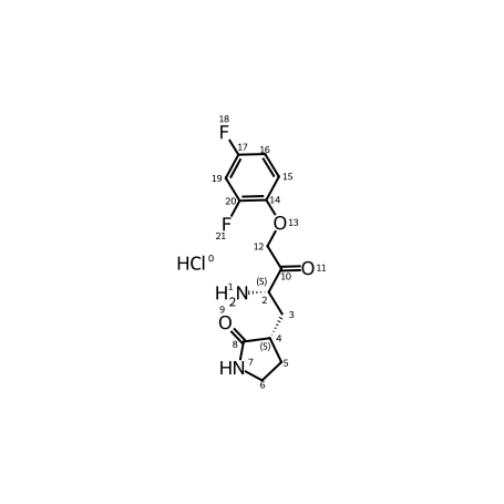 Cl.N[C@@H](C[C@@H]1CCNC1=O)C(=O)COc1ccc(F)cc1F